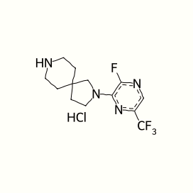 Cl.Fc1ncc(C(F)(F)F)nc1N1CCC2(CCNCC2)C1